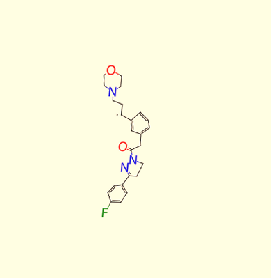 O=C(Cc1cccc([CH]CCN2CCOCC2)c1)N1CCC(c2ccc(F)cc2)=N1